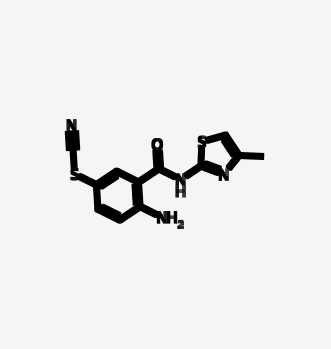 Cc1csc(NC(=O)c2cc(SC#N)ccc2N)n1